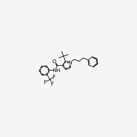 CC(C)(C)c1c(C(=O)Nc2ccccc2C(F)(F)F)ccn1CCCC1=CC=C=C=C1